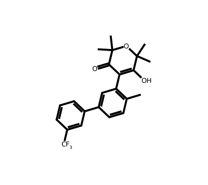 Cc1ccc(-c2cccc(C(F)(F)F)c2)cc1C1=C(O)C(C)(C)OC(C)(C)C1=O